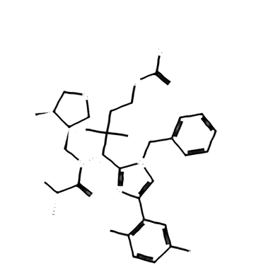 C[C@H](O)C(=O)N(C[C@@H]1CNC[C@@H]1F)[C@@H](c1nc(-c2cc(F)ccc2F)cn1Cc1ccccc1)C(C)(C)CCOC(N)=O